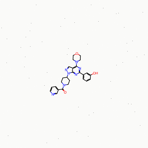 O=C(c1cccnc1)N1CCC(n2ncc3c(N4CCOCC4)nc(-c4cccc(O)c4)nc32)CC1